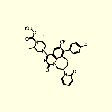 C[C@@H]1CN(c2nc(=O)n3c4c(c(-c5ccc(F)cc5)c(C(F)(F)F)cc24)SC[C@@H](n2ccccc2=O)C3)C[C@@H](C)N1C(=O)OC(C)(C)C